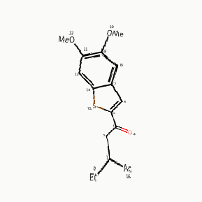 CCC(CC(=O)c1cc2cc(OC)c(OC)cc2s1)C(C)=O